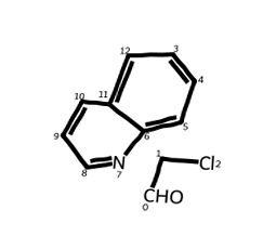 O=CCCl.c1ccc2ncccc2c1